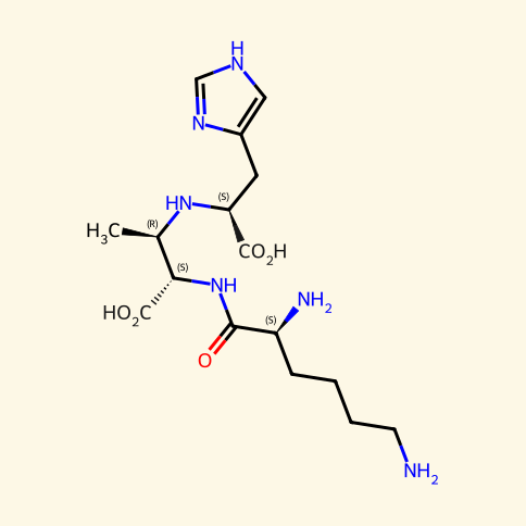 C[C@@H](N[C@@H](Cc1c[nH]cn1)C(=O)O)[C@H](NC(=O)[C@@H](N)CCCCN)C(=O)O